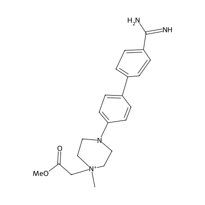 COC(=O)C[N+]1(C)CCN(c2ccc(-c3ccc(C(=N)N)cc3)cc2)CC1